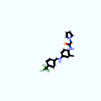 Cc1cc(NCc2ccc(C(F)(F)F)cc2)ccc1NC(=O)Cn1cccc1